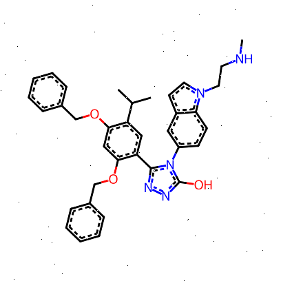 CNCCn1ccc2cc(-n3c(O)nnc3-c3cc(C(C)C)c(OCc4ccccc4)cc3OCc3ccccc3)ccc21